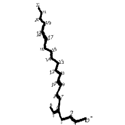 [CH2]CCCC(CC)CCCCCCCCCCCCCCCC